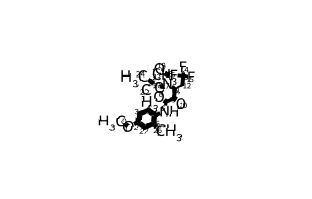 COc1ccc(NC(=O)C(=O)[C@H](CC(F)(F)F)N(C=O)OC(C)(C)C)c(C)c1